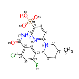 CC1CCCN(c2ccc(S(=O)(=O)O)cn2)C1.NC(=O)c1ccc(F)cc1Cl